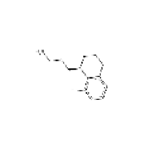 NCCC[C@H]1CCCc2cccc(F)c21